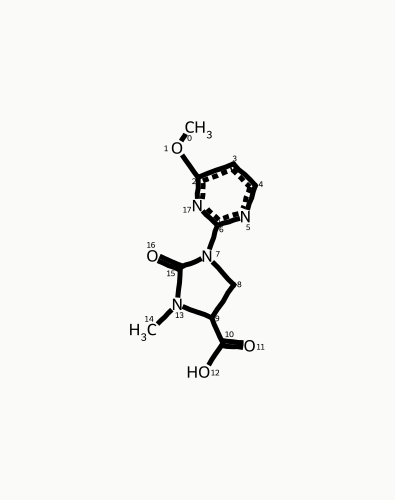 COc1ccnc(N2CC(C(=O)O)N(C)C2=O)n1